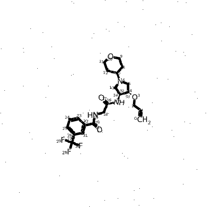 C=CCO[C@H]1CN(C2CCOCC2)C[C@@H]1NC(=O)CNC(=O)c1cccc(C(F)(F)F)c1